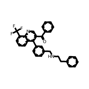 O=C(c1ccccc1)c1cnc2c(C(F)(F)F)cccc2c1-c1cccc(CNCCc2ccccc2)c1